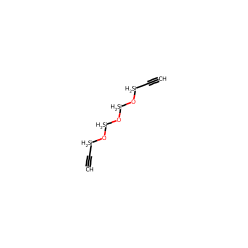 C#C[SiH2]O[SiH2]O[SiH2]O[SiH2]C#C